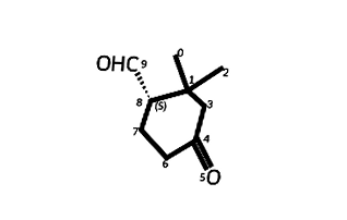 CC1(C)CC(=O)CC[C@@H]1C=O